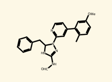 COc1ccc(C)c(-c2ccnc(N3N=C(NC=O)NC3Cc3ccccc3)c2)c1